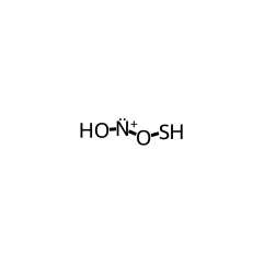 O[N+]OS